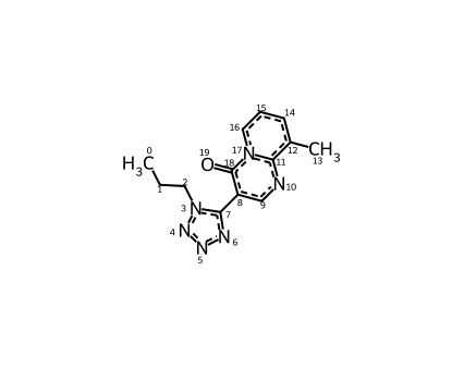 CCCn1nnnc1-c1cnc2c(C)cccn2c1=O